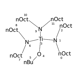 CCCCCCCC[N](CCCCCCCC)[Ti]([O]CCCC)([N](CCCCCCCC)CCCCCCCC)[N](CCCCCCCC)CCCCCCCC